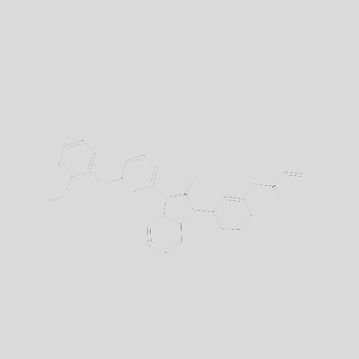 C=CC(=O)Nc1cccc(-n2c(=O)n(-c3cccc(Oc4ccccc4OC)c3)c3cnccc32)c1